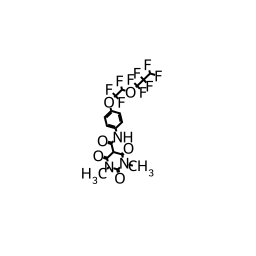 CN1C(=O)C(C(=O)Nc2ccc(OC(F)(F)C(F)OC(F)(F)C(F)(F)C(F)F)cc2)C(=O)N(C)C1=O